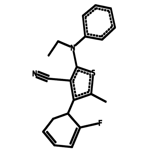 CCN(c1ccccc1)c1sc(C)c(C2CC=CC=C2F)c1C#N